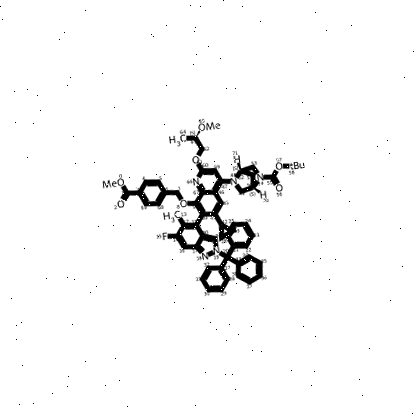 COC(=O)c1ccc(COc2c(-c3c(C)c(F)cc4nn(C(c5ccccc5)(c5ccccc5)c5ccccc5)cc34)c(C3CC3)cc3c(N4C[C@@H]5C[C@H]4CN5C(=O)OC(C)(C)C)cc(OC[C@H](C)OC)nc23)cc1